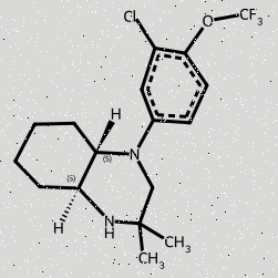 CC1(C)CN(c2ccc(OC(F)(F)F)c(Cl)c2)[C@H]2CCCC[C@@H]2N1